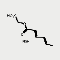 C/C=C/C=C/C(=O)OCC(=O)O.[NaH]